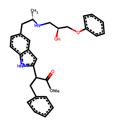 COC(=O)C(Cc1ccccc1)c1cc2cc(C[C@H](C)NC[C@H](O)COc3ccccc3)ccc2[nH]1